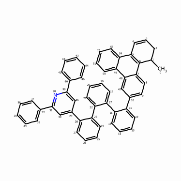 CC1CC=Cc2c1c1ccc(-c3ccccc3-c3ccccc3-c3ccccc3-c3cc(-c4ccccc4)nc(-c4ccccc4)c3)cc1c1ccccc21